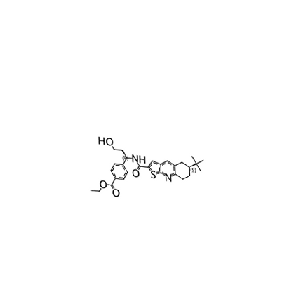 CCOC(=O)c1ccc([C@@H](CCO)NC(=O)c2cc3cc4c(nc3s2)CC[C@H](C(C)(C)C)C4)cc1